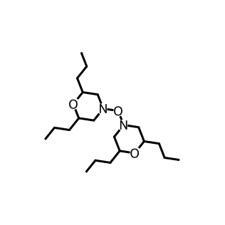 CCCC1CN(ON2CC(CCC)OC(CCC)C2)CC(CCC)O1